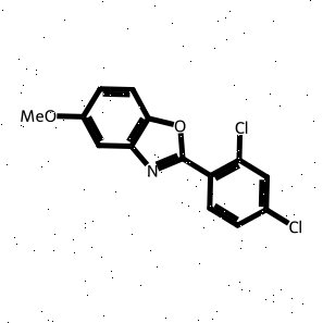 COc1ccc2oc(-c3ccc(Cl)cc3Cl)nc2c1